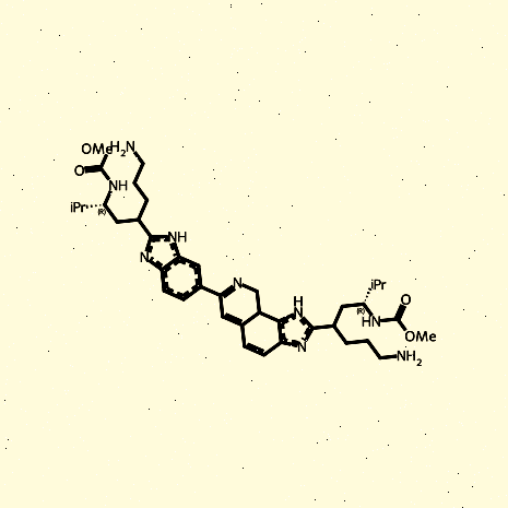 COC(=O)N[C@H](CC(CCCN)c1nc2c([nH]1)C1CN=C(c3ccc4nc(C(CCCN)C[C@@H](NC(=O)OC)C(C)C)[nH]c4c3)C=C1C=C2)C(C)C